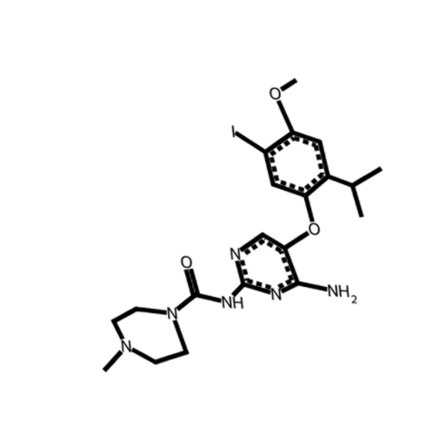 COc1cc(C(C)C)c(Oc2cnc(NC(=O)N3CCN(C)CC3)nc2N)cc1I